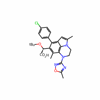 Cc1nc(N2CCn3c(C)cc4c(-c5ccc(Cl)cc5)c([C@H](OC(C)(C)C)C(=O)O)c(C)c2c43)no1